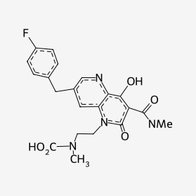 CNC(=O)c1c(O)c2ncc(Cc3ccc(F)cc3)cc2n(CCN(C)C(=O)O)c1=O